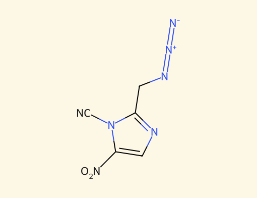 N#Cn1c([N+](=O)[O-])cnc1CN=[N+]=[N-]